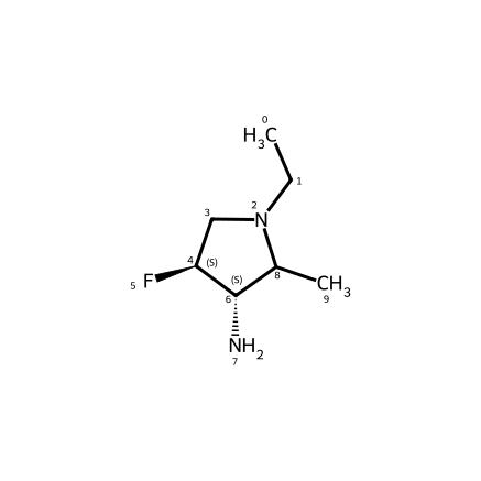 CCN1C[C@H](F)[C@@H](N)C1C